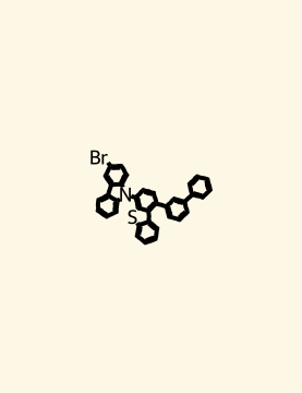 Brc1ccc2c(c1)c1ccccc1n2-c1ccc(-c2cccc(-c3ccccc3)c2)c2c1sc1ccccc12